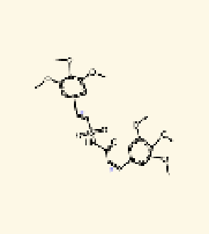 COc1cc(/C=C\C(=O)NS(=O)(=O)/C=C/c2cc(OC)c(OC)c(OC)c2)cc(OC)c1OC